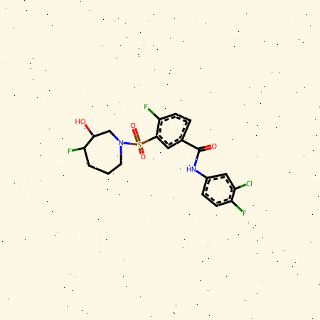 O=C(Nc1ccc(F)c(Cl)c1)c1ccc(F)c(S(=O)(=O)N2CCCC(F)C(O)C2)c1